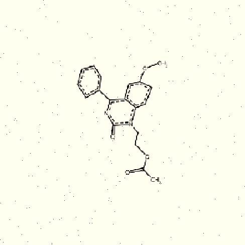 COc1ccc2c(c1)c(-c1ccccc1)nc(=O)n2CCOC(C)=O